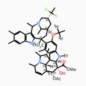 [2H]C([2H])(C)Oc1cc2c(c(C)c1[C@@]1(C(=O)OCC)C[C@@H]3C[C@@H](C(C)(F)F)CN(C(C)c4c1[nH]c1cc(C)c(C)cc41)C3C)C13[C@H](C)C(C)N4C(C)C=C[C@](CC)([C@H]41)[C@@H](OC(C)=O)[C@](O)(C(=O)OC)[C@@H]3N2CC